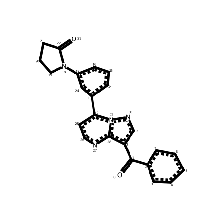 O=C(c1ccccc1)c1cnn2c(-c3cccc(N4CCCC4=O)c3)ccnc12